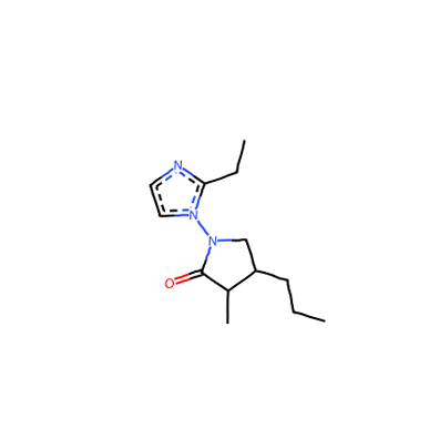 CCCC1CN(n2ccnc2CC)C(=O)C1C